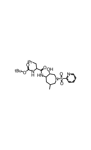 CC(C)CC(NC(=O)OC(C)(C)C)C(=O)NC1CC(C)CN(S(=O)(=O)c2ccccn2)C[C@@H]1O